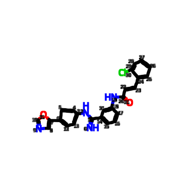 N=C(Nc1ccc(-c2cnco2)cc1)c1cccc(NC(=O)/C=C/c2ccccc2Cl)c1